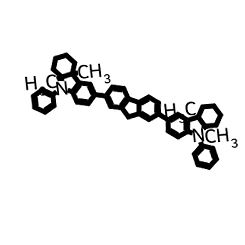 CC12CCCCC1(C)N(c1ccccc1)c1ccc(-c3ccc4c(c3)Cc3cc(-c5ccc6c(c5)C5(C)CCCCC5(C)N6c5ccccc5)ccc3-4)cc12